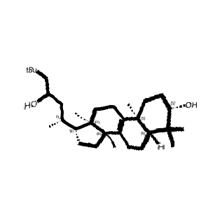 C[C@H](CC(O)CC(C)(C)C)[C@H]1CC[C@@]2(C)C3=C(CC[C@]12C)[C@@]1(C)CC[C@H](O)C(C)(C)[C@@H]1CC3